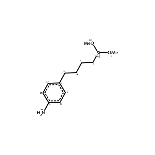 CO[SiH](CCCCc1ccc(N)cc1)OC